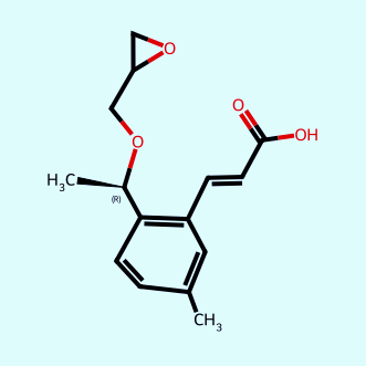 Cc1ccc([C@@H](C)OCC2CO2)c(C=CC(=O)O)c1